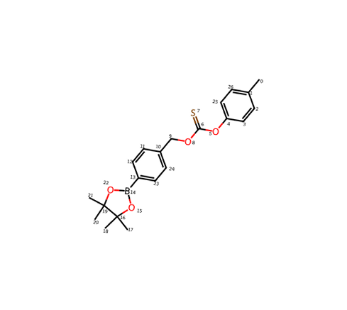 Cc1ccc(OC(=S)OCc2ccc(B3OC(C)(C)C(C)(C)O3)cc2)cc1